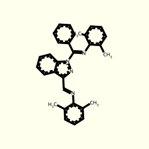 Cc1cccc(C)c1/N=C/c1nn(/C(=N/c2c(C)cccc2C)c2ccccc2)c2ccccc12